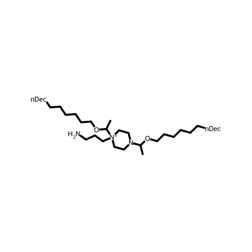 CCCCCCCCCCCCCCCCOC(C)N1CC[N+](CCCN)(C(C)OCCCCCCCCCCCCCCCC)CC1